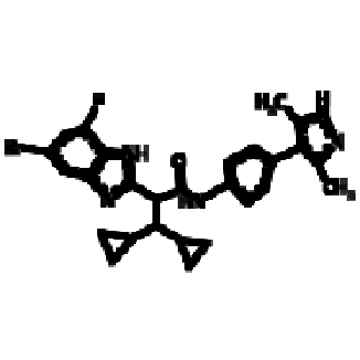 Cc1n[nH]c(C)c1-c1ccc(NC(=O)C(c2nc3cc(Br)cc(F)c3[nH]2)C(C2CC2)C2CC2)cc1